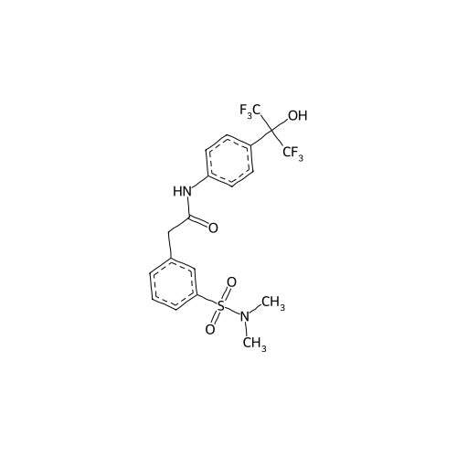 CN(C)S(=O)(=O)c1cccc(CC(=O)Nc2ccc(C(O)(C(F)(F)F)C(F)(F)F)cc2)c1